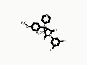 C[C@]12C(=O)N(c3cc(Cl)cc(Cl)c3)C(=O)C1[C@]2(c1ccncc1)c1ccc(OC(F)(F)F)cc1